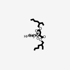 CCCCC(CC)COC(=O)CC(C(=O)OCC(CC)CCCC)S(=O)(=O)O.I.[AlH3].[NaH]